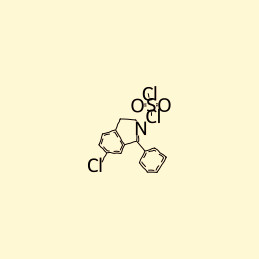 Clc1ccc2c(c1)C(c1ccccc1)=NCC2.O=S(=O)(Cl)Cl